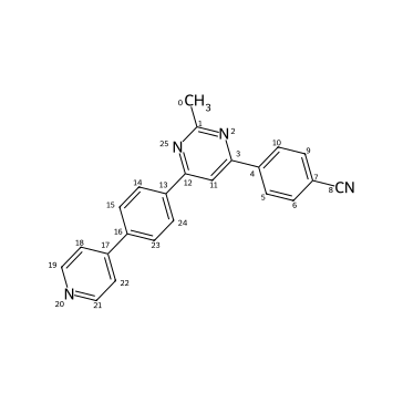 Cc1nc(-c2ccc(C#N)cc2)cc(-c2ccc(-c3ccncc3)cc2)n1